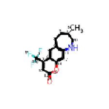 C[C@H]1CCc2cc3c(C(F)(F)F)cc(=O)oc3cc2NC1